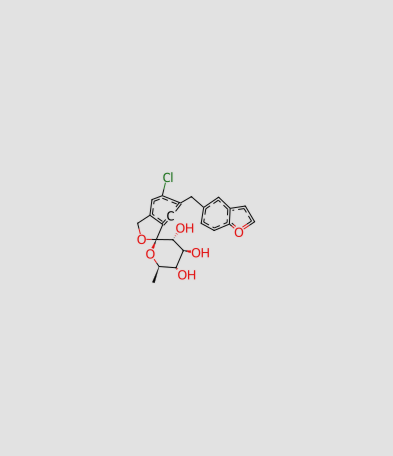 C[C@H]1O[C@]2(OCc3cc(Cl)c(Cc4ccc5occc5c4)cc32)[C@H](O)[C@@H](O)[C@@H]1O